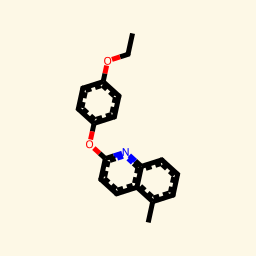 CCOc1ccc(Oc2ccc3c(C)cccc3n2)cc1